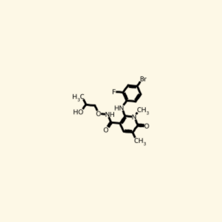 Cc1cc(C(=O)NOCC(C)O)c(Nc2ccc(Br)cc2F)n(C)c1=O